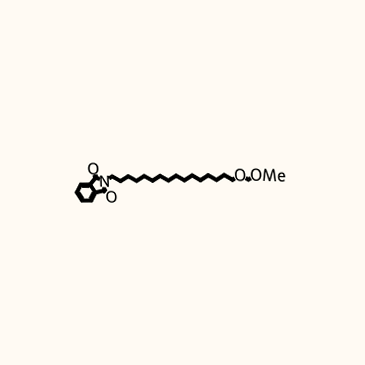 COCOCCCCCCCCCCCCCCCCN1C(=O)c2ccccc2C1=O